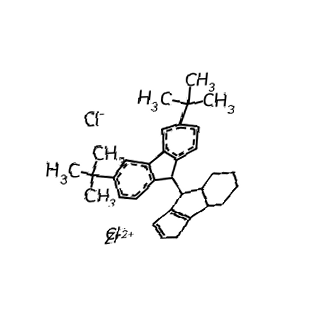 CC(C)(C)c1ccc2c(c1)-c1cc(C(C)(C)C)ccc1C2C1C2=C(CC=C2)C2CCCCC21.[Cl-].[Cl-].[Zr+2]